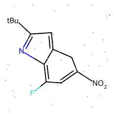 CC(C)(C)C1=NC2=C(F)C=C([N+](=O)[O-])CC2=C1